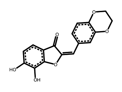 O=C1C(=Cc2ccc3c(c2)OCCO3)Oc2c1ccc(O)c2O